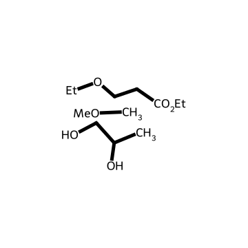 CC(O)CO.CCOCCC(=O)OCC.COC